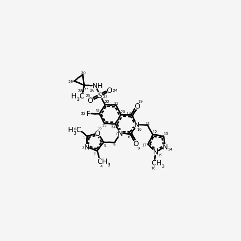 Cc1nc(C)c(Cn2c(=O)n(Cc3cnn(C)c3)c(=O)c3cc(S(=O)(=O)NC4(C)CC4)c(F)cc32)o1